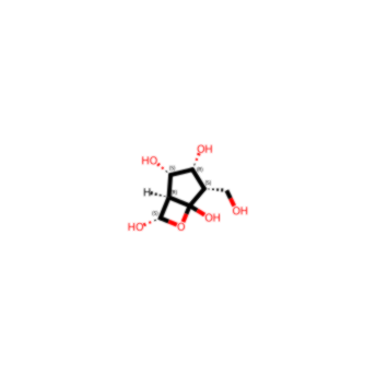 OC[C@H]1[C@@H](O)[C@@H](O)[C@@H]2[C@@H](O)OC21O